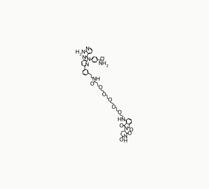 Nc1ncccc1-c1nc2ccc(-c3cccc(CCNC(=O)CCOCCOCCOCCOCCOCCNc4cccc5c4C(=O)N(C4CCC(=O)NC4=O)C5=O)c3)nc2n1-c1ccc(C2(N)CCC2)cc1